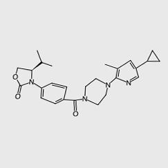 Cc1cc(C2CC2)cnc1N1CCN(C(=O)c2ccc(N3C(=O)OC[C@H]3C(C)C)cc2)CC1